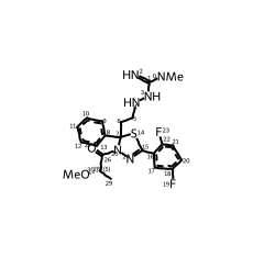 CNC(=N)NNCCC1(c2ccccc2)SC(c2cc(F)ccc2F)=NN1C(=O)[C@H](C)OC